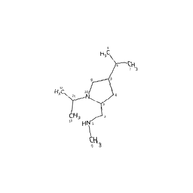 CNCC1CC(C(C)C)CN1C(C)C